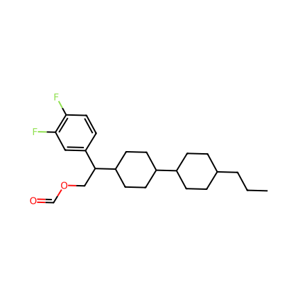 CCCC1CCC(C2CCC(C(COC=O)c3ccc(F)c(F)c3)CC2)CC1